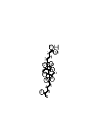 CC(=O)CCCC(=O)O[C@@H]1CO[C@H]2[C@@H]1OC[C@H]2OC(=O)CCCC(=O)O